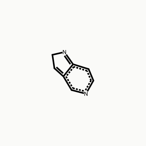 C1=c2cnccc2=NC1